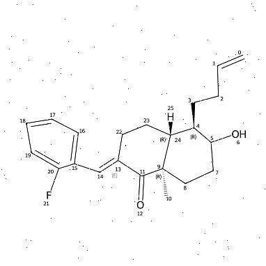 C=CCC[C@H]1C(O)CC[C@@]2(C)C(=O)/C(=C/c3ccccc3F)CC[C@H]12